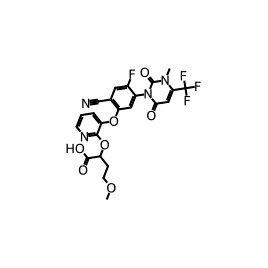 COCCC(Oc1ncccc1Oc1cc(-n2c(=O)cc(C(F)(F)F)n(C)c2=O)c(F)cc1C#N)C(=O)O